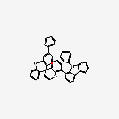 c1ccc(-c2ccc3c(c2)Oc2ccccc2C32c3ccccc3Oc3c(-c4cccc5c6ccccc6n(-c6ccccc6)c45)cccc32)cc1